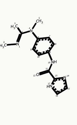 CN=C(C)N(C)c1ccc(NC(=O)c2ncc[nH]2)cc1